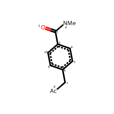 CNC(=O)c1ccc(CC(C)=O)cc1